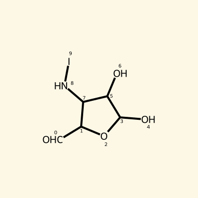 O=CC1OC(O)C(O)C1NI